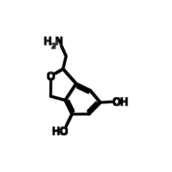 NCC1OCc2c(O)cc(O)cc21